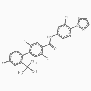 CC(C)(O)c1cc(F)ccc1-c1cc(Cl)c(C(=O)Nc2cnc(-n3nccn3)c(Cl)c2)cc1F